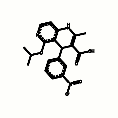 CC1=C(C(=O)O)C(c2cccc([N+](=O)[O-])c2)c2c(ccnc2OC(C)C)N1